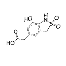 Cl.O=C(O)Cc1ccc2c(c1)CS(=O)(=O)N2